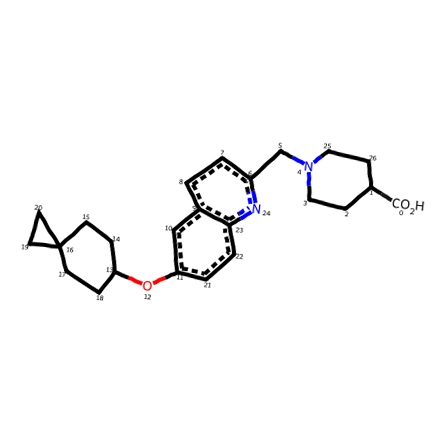 O=C(O)C1CCN(Cc2ccc3cc(OC4CCC5(CC4)CC5)ccc3n2)CC1